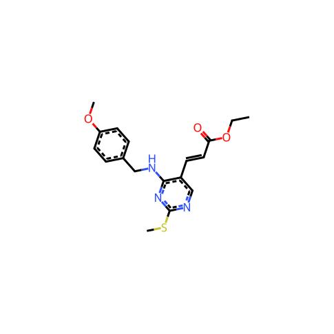 CCOC(=O)C=Cc1cnc(SC)nc1NCc1ccc(OC)cc1